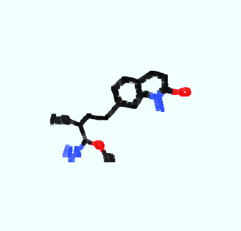 CCOC(N)C(CCc1ccc2ccc(=O)[nH]c2c1)OC(C)=O